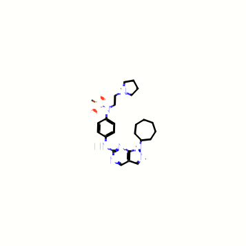 CS(=O)(=O)N(CCN1CCCC1)c1ccc(Nc2ncc3cnn(C4CCCCCC4)c3n2)cc1